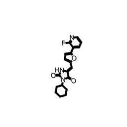 O=C1N/C(=C\c2ccc(-c3cccnc3F)o2)C(=O)N1C1CCCCC1